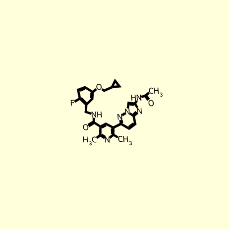 CC(=O)Nc1cn2nc(-c3cc(C(=O)NCc4cc(OCC5CC5)ccc4F)c(C)nc3C)ccc2n1